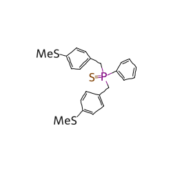 CSc1ccc(CP(=S)(Cc2ccc(SC)cc2)c2ccccc2)cc1